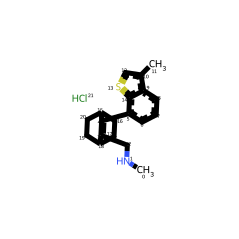 CNCC1=C(c2cccc3c(C)csc23)C2CCC1CC2.Cl